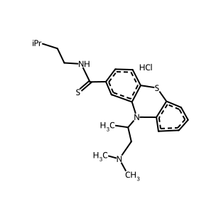 CC(C)CCNC(=S)c1ccc2c(c1)N(C(C)CN(C)C)c1ccccc1S2.Cl